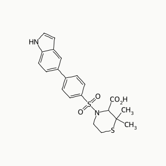 CC1(C)SCCN(S(=O)(=O)c2ccc(-c3ccc4[nH]ccc4c3)cc2)C1C(=O)O